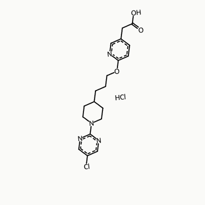 Cl.O=C(O)Cc1ccc(OCCCC2CCN(c3ncc(Cl)cn3)CC2)nc1